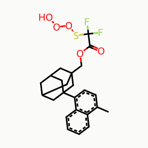 Cc1ccc(C23CC4CC(CC(COC(=O)C(F)(F)SOOO)(C4)C2)C3)c2ccccc12